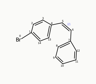 Brc1ccc(/C=C\c2ccccc2)cc1